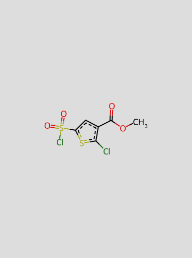 COC(=O)c1cc(S(=O)(=O)Cl)sc1Cl